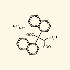 O=C([O-])C(C(C(=O)[O-])(c1cccc2ccccc12)c1cccc2ccccc12)S(=O)(=O)O.[Na+].[Na+]